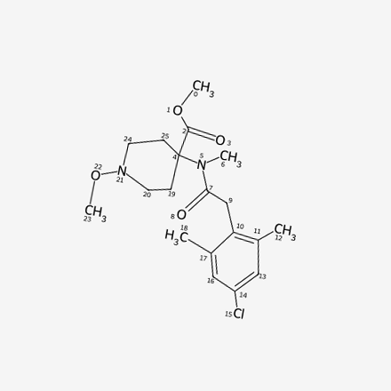 COC(=O)C1(N(C)C(=O)Cc2c(C)cc(Cl)cc2C)CCN(OC)CC1